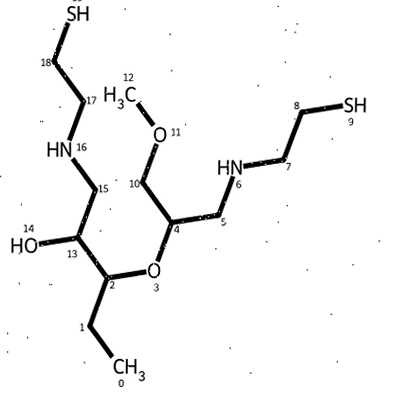 CCC(OC(CNCCS)COC)C(O)CNCCS